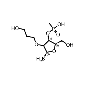 B[C@@H]1O[C@H](CO)[C@H](OP(C)(=O)O)C1OCCCO